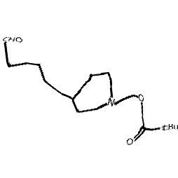 CC(C)(C)C(=O)ON1CCC(CCCC=O)CC1